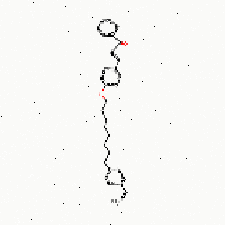 C=Cc1ccc(CCCCCCCCOc2ccc(/C=C/C(=O)c3ccccc3)cc2)cc1